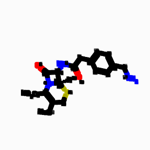 COC1=C(C(=O)O)N2C(=O)[C@@H](NC(=O)Cc3ccc(CN)cc3)[C@H]2SC1